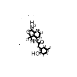 Cc1ccc(O)c(CC(=O)Nc2ccnc(C(N)=O)c2C(C)(C)C)c1